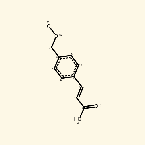 O=C(O)C=Cc1ccc(COO)cc1